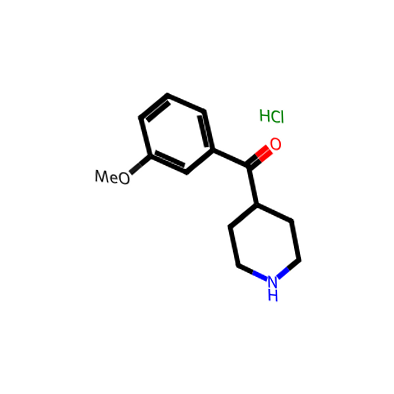 COc1cccc(C(=O)C2CCNCC2)c1.Cl